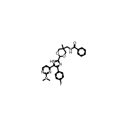 CN(C)c1nccc(-c2[nH]c(C3OCC(C)(CNC(=O)c4ccccc4)CO3)nc2-c2ccc(F)cc2)n1